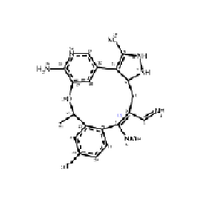 CN/C1=C(\C=N)CC2NNC(C#N)=C2c2cnc(N)c(c2)OC(C)c2cc(F)ccc21